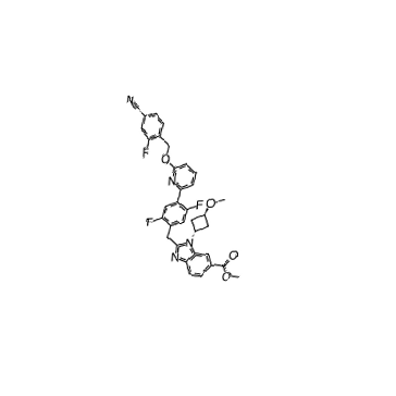 COC(=O)c1ccc2nc(Cc3cc(F)c(-c4cccc(OCc5ccc(C#N)cc5F)n4)cc3F)n([C@H]3C[C@H](OC)C3)c2c1